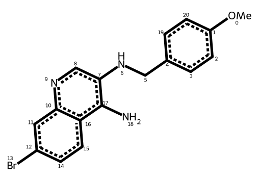 COc1ccc(CNc2cnc3cc(Br)ccc3c2N)cc1